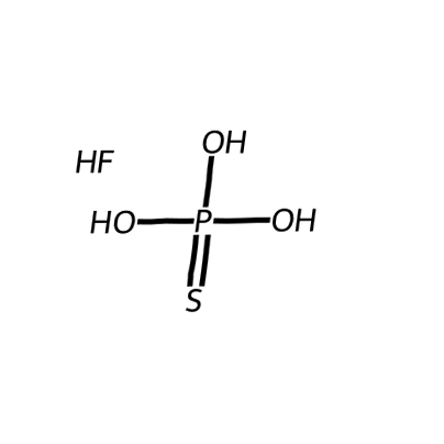 F.OP(O)(O)=S